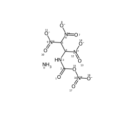 N.O=C(NC(C([N+](=O)[O-])[N+](=O)[O-])[N+](=O)[O-])O[N+](=O)[O-]